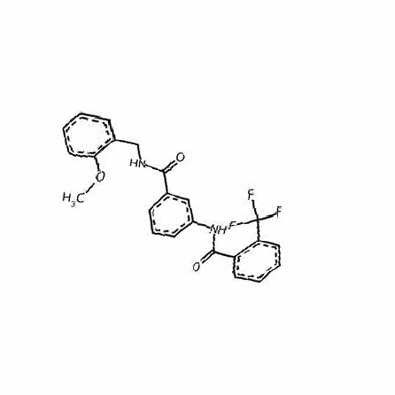 COc1ccccc1CNC(=O)c1cccc(NC(=O)c2ccccc2C(F)(F)F)c1